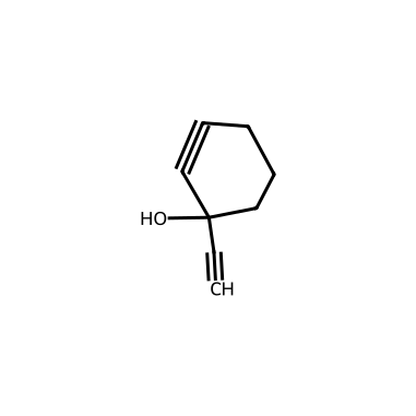 C#CC1(O)C#CCCC1